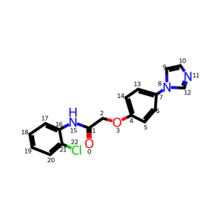 O=C(COc1ccc(-n2ccnc2)cc1)Nc1ccccc1Cl